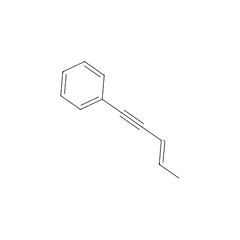 CC=[C]C#Cc1ccccc1